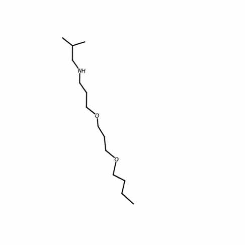 CCCCOCCCOCCCNCC(C)C